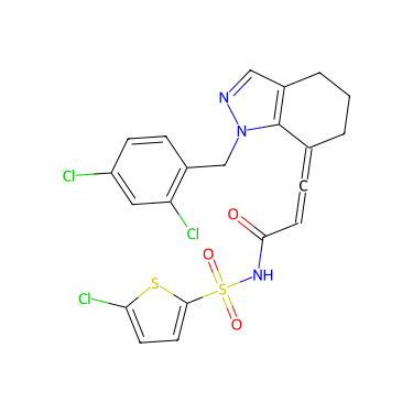 O=C(C=C=C1CCCc2cnn(Cc3ccc(Cl)cc3Cl)c21)NS(=O)(=O)c1ccc(Cl)s1